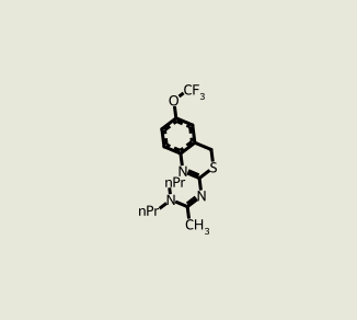 CCCN(CCC)C(C)=NC1=Nc2ccc(OC(F)(F)F)cc2CS1